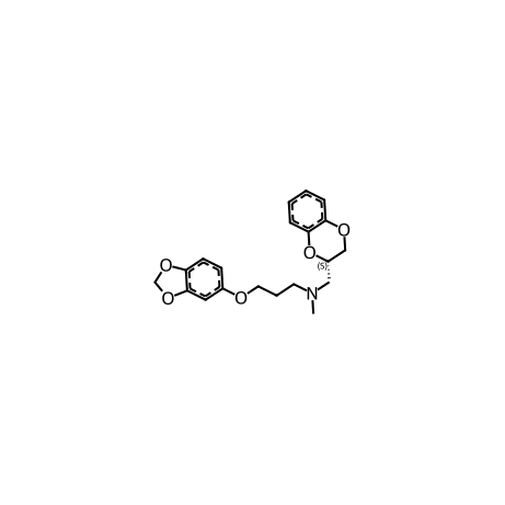 CN(CCCOc1ccc2c(c1)OCO2)C[C@H]1COc2ccccc2O1